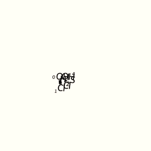 OCl.OCl.S